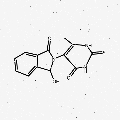 Cc1[nH]c(=S)[nH]c(=O)c1N1C(=O)c2ccccc2C1O